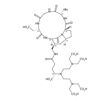 CCCC[C@@H]1NC(=O)[C@@H]2CC[C@H]3C[C@@H](CNC(=O)CC[C@@H](C(=O)O)N(CCN(CC(=O)O)CC(=O)O)CCN(CC(=O)O)CC(=O)O)[C@@H](NC(=O)[C@H](CC(=O)O)NC(=O)CNC1=O)C(=O)N32